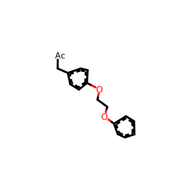 CC(=O)Cc1ccc(OCCOc2ccccc2)cc1